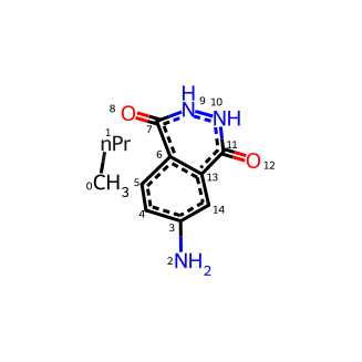 CCCC.Nc1ccc2c(=O)[nH][nH]c(=O)c2c1